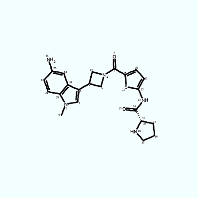 Cn1cc(C2CN(C(=O)c3ccc(NC(=O)[C@@H]4CCCN4)s3)C2)c2cc(N)ccc21